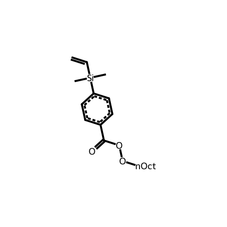 [CH2]CCCCCCCOOC(=O)c1ccc([Si](C)(C)C=C)cc1